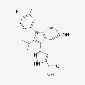 Cc1cc(-n2c(C(C)C)c(-c3cc(C(=O)O)[nH]n3)c3cc(O)ccc32)ccc1F